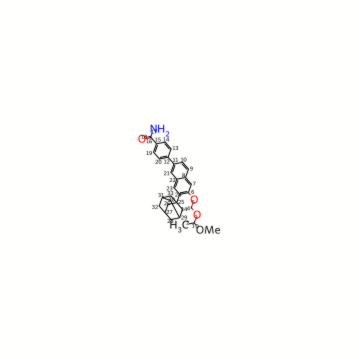 COC(C)OCOc1cc2ccc(-c3ccc(C(N)=O)cc3)cc2cc1C12CC3CC(CC(C3)C1)C2